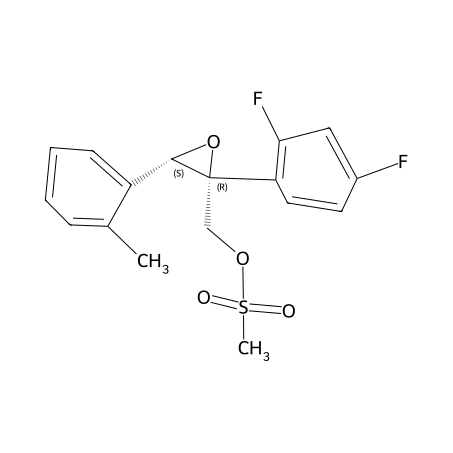 Cc1ccccc1[C@@H]1O[C@@]1(COS(C)(=O)=O)c1ccc(F)cc1F